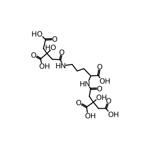 O=C(O)CC(O)(CC(=O)NCCCC(NC(=O)CC(O)(CC(=O)O)C(=O)O)C(=O)O)C(=O)O